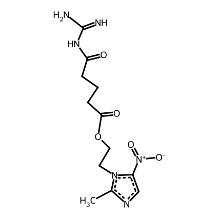 Cc1ncc([N+](=O)[O-])n1CCOC(=O)CCCC(=O)NC(=N)N